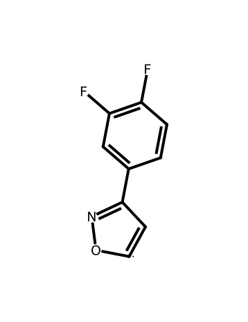 Fc1ccc(-c2c[c]on2)cc1F